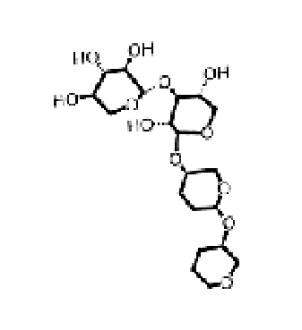 O[C@@H]1[C@@H](O)[C@H](O[C@@H]2[C@@H](O)[C@H](O[C@@H]3CC[C@H](O[C@@H]4CCCOC4)OC3)OC[C@H]2O)OC[C@H]1O